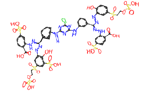 O=C(O)c1ccc(S(=O)(=O)O)cc1N/N=C(\N=N\c1cc(S(=O)(=O)CCOS(=O)(=O)O)ccc1O)c1cccc(Nc2nc(Cl)nc(Nc3cccc(C(=N/Nc4cc(S(=O)(=O)O)ccc4C(=O)O)/N=N/c4cc(S(=O)(=O)CCOS(=O)(=O)O)cc(S(=O)(=O)O)c4O)c3)n2)c1